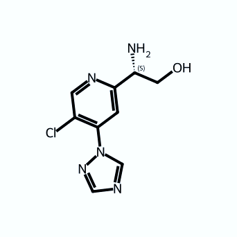 N[C@H](CO)c1cc(-n2cncn2)c(Cl)cn1